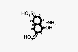 N.O=S(=O)(O)c1ccc2c(O)cc(S(=O)(=O)O)cc2c1